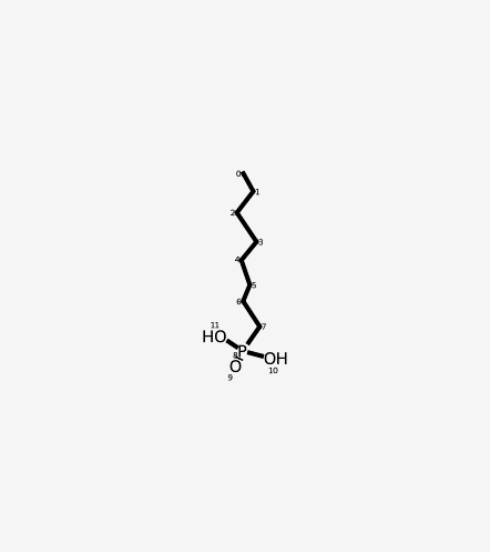 [CH2]CCCCCCCP(=O)(O)O